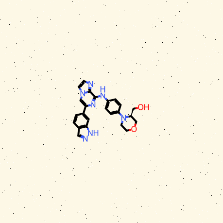 OC[C@H]1COCCN1c1ccc(Nc2nc(-c3ccc4cn[nH]c4c3)cn3ccnc23)cc1